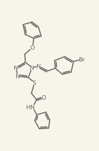 O=C(CSc1nnc(COc2ccccc2)n1N=Cc1ccc(Br)cc1)Nc1ccccc1